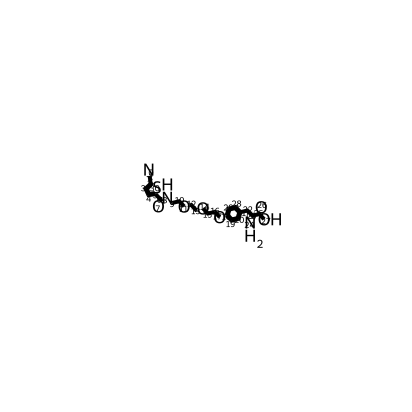 N#Cc1ccc(C(=O)NCCOCCOCCOc2ccc(C[C@H](N)C(=O)O)cc2)s1